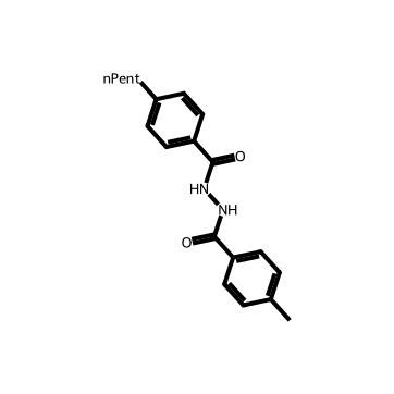 CCCCCc1ccc(C(=O)NNC(=O)c2ccc(C)cc2)cc1